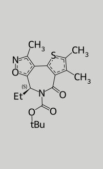 CC[C@H]1c2onc(C)c2-c2sc(C)c(C)c2C(=O)N1C(=O)OC(C)(C)C